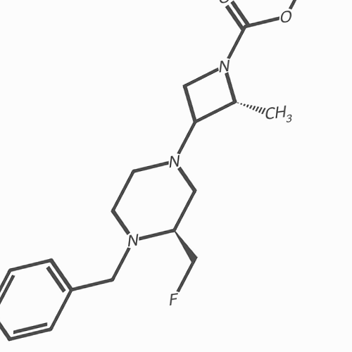 C[C@@H]1C(N2CCN(Cc3ccccc3)[C@H](CF)C2)CN1C(=O)OC(C)(C)C